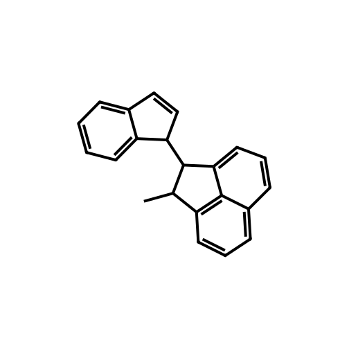 CC1c2cccc3cccc(c23)C1C1C=Cc2ccccc21